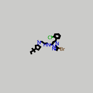 CCC(C)(C)C1CCC(N(C)CCCNc2cc(-c3ccccc3Cl)nc3c(Br)cnn23)C1